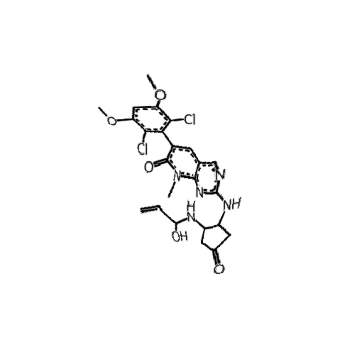 C=CC(O)NC1CC(=O)CC1Nc1ncc2cc(-c3c(Cl)c(OC)cc(OC)c3Cl)c(=O)n(C)c2n1